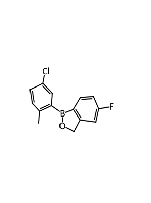 Cc1ccc(Cl)cc1B1OCc2cc(F)ccc21